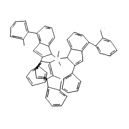 CCCCc1ccccc1-c1cccc2c1C=C(c1ccccc1)[CH]2[Hf]([Cl])([Cl])([c]1cccc2c1[SiH2]c1ccccc1-2)[CH]1C(c2ccccc2)=Cc2c(-c3ccccc3CCCC)cccc21